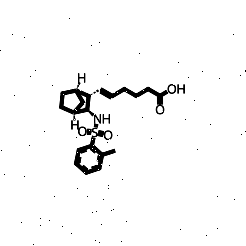 Cc1ccccc1S(=O)(=O)N[C@H]1[C@H]2CC[C@H](C2)[C@@H]1C=CCCCC(=O)O